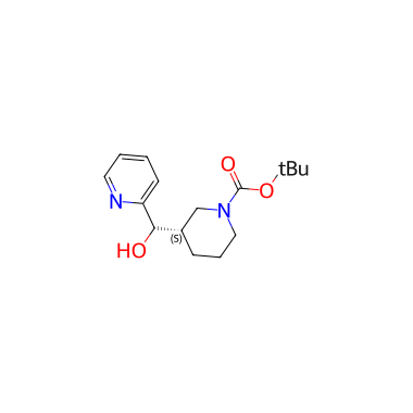 CC(C)(C)OC(=O)N1CCC[C@H](C(O)c2ccccn2)C1